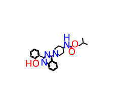 CC(C)COC(=O)NC1CCN(c2nc(-c3ccccc3O)nc3ccccc23)CC1